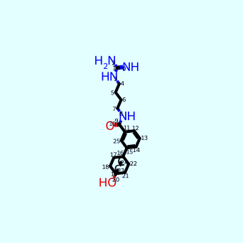 N=C(N)NCCCCNC(=O)c1cccc(C23CCC(O)(CC2)CC3)c1